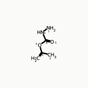 C=C(C)OC(=O)NN